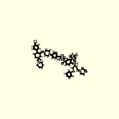 CC1(CN2CCCCC2)CCC(c2ccc(Cl)cc2)=C(CN2CCN(c3ccc(C(=O)NS(=O)(=O)c4ccc(N[C@H](CCN5CCOCC5)CSc5ccccc5)c(S(=O)(=O)C(F)(F)F)c4)cc3)CC2)C1